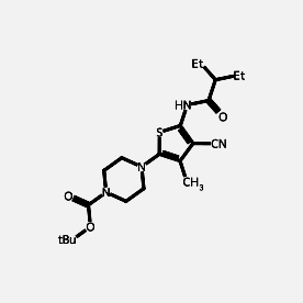 CCC(CC)C(=O)Nc1sc(N2CCN(C(=O)OC(C)(C)C)CC2)c(C)c1C#N